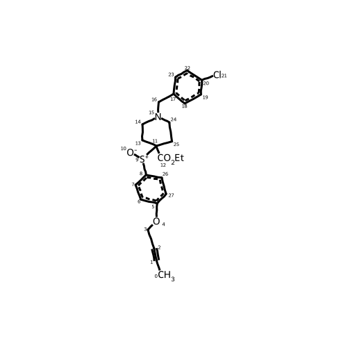 CC#CCOc1ccc([S+]([O-])C2(C(=O)OCC)CCN(Cc3ccc(Cl)cc3)CC2)cc1